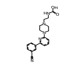 N#Cc1cccc(-c2cccc(N3CCN(CCNC(=O)O)CC3)n2)c1